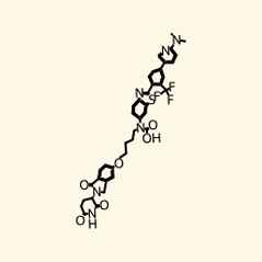 CN(C)c1ccc(-c2ccc(-c3nc4ccc(N(CCCCCOc5ccc6c(c5)CN(C5CCC(=O)NC5=O)C6=O)C(=O)O)cc4s3)c(C(F)(F)F)c2)cn1